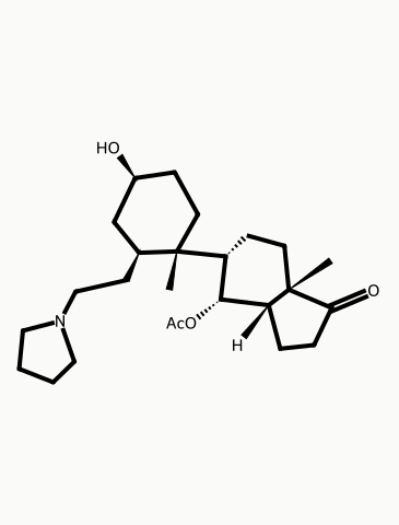 CC(=O)O[C@@H]1[C@H]([C@@]2(C)CC[C@H](O)C[C@@H]2CCN2CCCC2)CC[C@]2(C)C(=O)CC[C@H]12